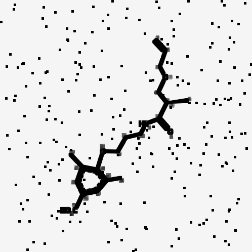 C=CCOC[C@@H](C)C(=O)NCCCOc1c(C)cc(C(=O)O)cc1C